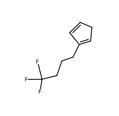 FC(F)(F)CCCC1=C[CH]C=C1